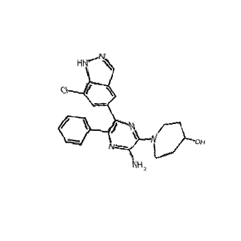 Nc1nc(-c2ccccc2)c(-c2cc(Cl)c3[nH]ncc3c2)nc1N1CCC(O)CC1